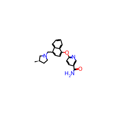 C[C@@H]1CCN(Cc2ccc(Oc3ccc(C(N)=O)cn3)c3ccccc23)C1